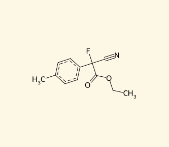 CCOC(=O)C(F)(C#N)c1ccc(C)cc1